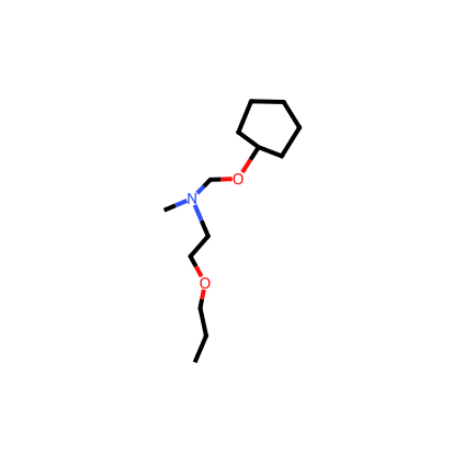 CCCOCCN(C)COC1CCCCC1